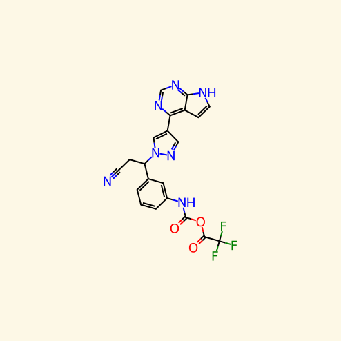 N#CCC(c1cccc(NC(=O)OC(=O)C(F)(F)F)c1)n1cc(-c2ncnc3[nH]ccc23)cn1